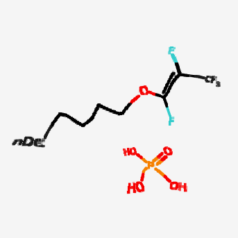 CCCCCCCCCCCCCCOC(F)=C(F)C(F)(F)F.O=P(O)(O)O